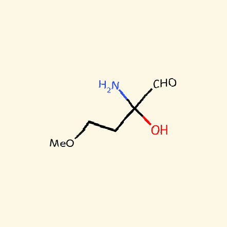 COCCC(N)(O)C=O